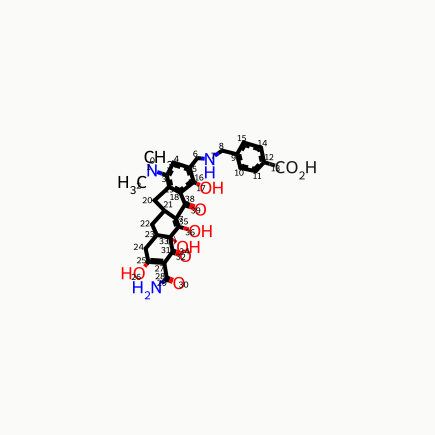 CN(C)c1cc(CNCc2ccc(C(=O)O)cc2)c(O)c2c1CC1CC3CC(O)=C(C(N)=O)C(=O)[C@@]3(O)C(O)=C1C2=O